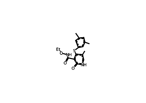 CCONC(=O)c1c(Sc2cc(C)cc(C)c2)c(C)c[nH]c1=O